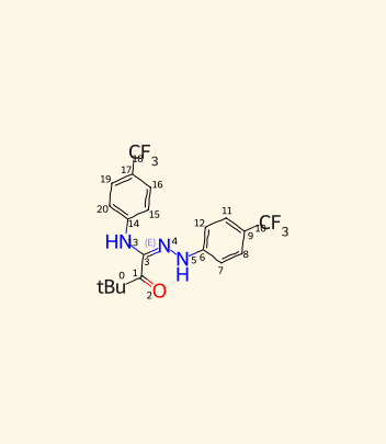 CC(C)(C)C(=O)/C(=N\Nc1ccc(C(F)(F)F)cc1)Nc1ccc(C(F)(F)F)cc1